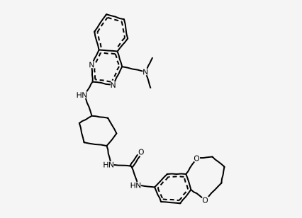 CN(C)c1nc(NC2CCC(NC(=O)Nc3ccc4c(c3)OCCCO4)CC2)nc2ccccc12